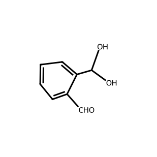 O=Cc1ccccc1C(O)O